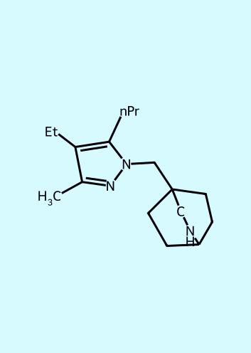 CCCc1c(CC)c(C)nn1CC12CCC(CC1)NC2